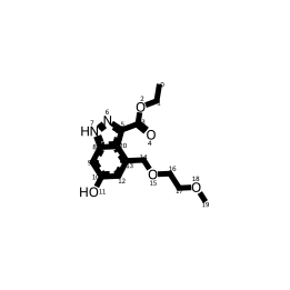 CCOC(=O)c1n[nH]c2cc(O)cc(COCCOC)c12